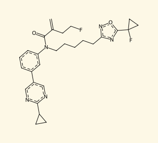 C=C(CCF)C(=O)N(CCCCCc1noc(C2(F)CC2)n1)c1cccc(-c2cnc(C3CC3)nc2)c1